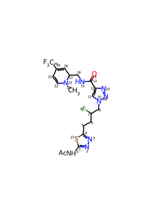 CC(=O)Nc1nnc(CCC(F)Cn2cc(C(=O)NCC3C=C(C(F)(F)F)C=CN3C)nn2)s1